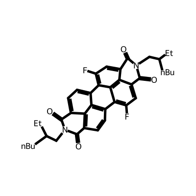 CCCCC(CC)CN1C(=O)c2ccc3c4c(F)cc5c6c(cc(F)c(c7ccc(c2c37)C1=O)c64)C(=O)N(CC(CC)CCCC)C5=O